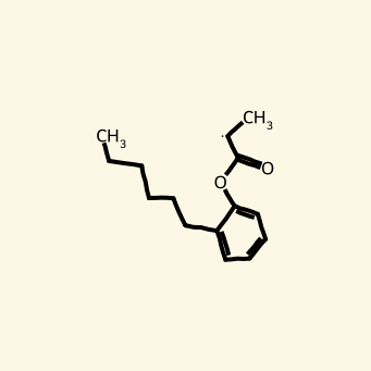 C[CH]C(=O)Oc1ccccc1CCCCCC